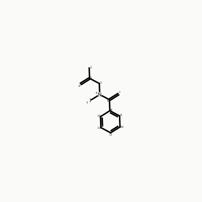 C=C(C)CN(I)C(=C)c1ccccc1